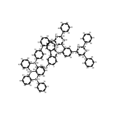 CC(C)(C)c1ccc2c(c1)c1ccccc1n2-c1ccc(-c2cc(-c3ccccc3)nc(-c3ccccc3)n2)cc1-c1nc(-c2ccccc2)nc(-c2cccc(-c3ccc(N4c5ccccc5B5c6ccccc6N(c6ccccc6)c6cccc4c65)cc3)c2)n1